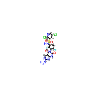 Cn1c(=O)n(-c2c(F)ccc(NS(=O)(=O)c3cc(Cl)cnc3Cl)c2F)c(=O)c2cnc(N)nc21